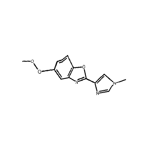 COOc1ccc2oc(-c3cn(C)cn3)nc2c1